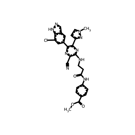 COC(=O)c1ccc(NC(=O)CCNc2nc(-c3ccn(C)n3)c(-c3cc(Cl)c4[nH]ncc4c3)nc2C#N)cc1